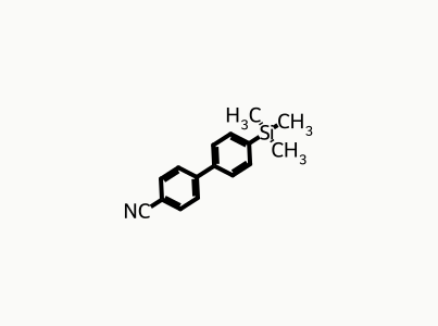 C[Si](C)(C)c1ccc(-c2ccc(C#N)cc2)cc1